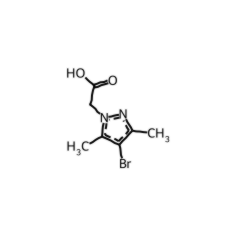 Cc1nn(CC(=O)O)c(C)c1Br